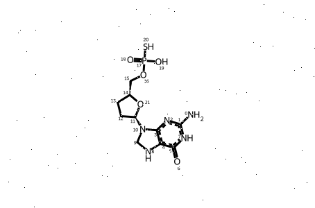 Nc1nc2c(c(=O)[nH]1)NCN2[C@H]1CC[C@@H](COP(=O)(O)S)O1